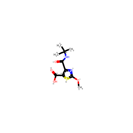 COc1nc(C(=O)NC(C)(C)C)c(C(=O)O)s1